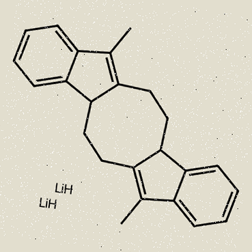 CC1=C2CCC3C(=C(C)c4ccccc43)CCC2c2ccccc21.[LiH].[LiH]